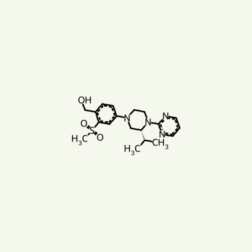 CC(C)[C@@H]1CN(c2ccc(CO)c(S(C)(=O)=O)c2)CCN1c1ncccn1